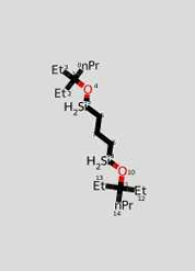 CCCC(CC)(CC)O[SiH2]CCC[SiH2]OC(CC)(CC)CCC